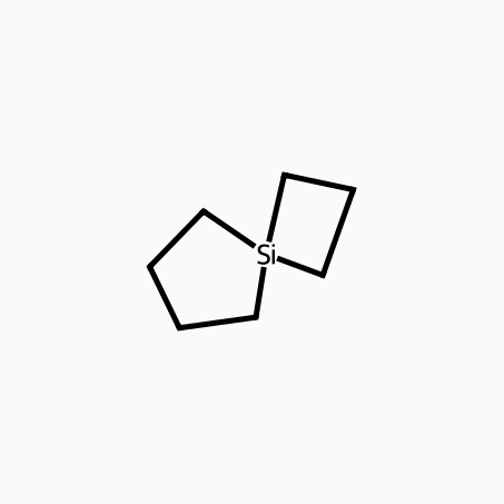 C1CC[Si]2(C1)CCC2